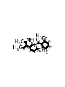 C=C1C=CC(/C(=C/C)C(C)=N)=CN1C(C)c1ccccc1CC